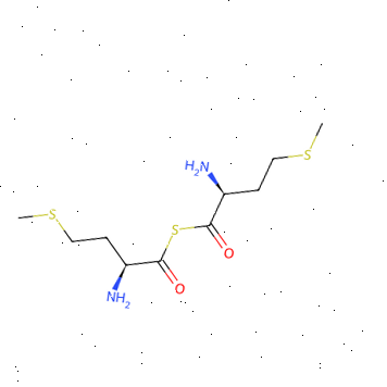 CSCC[C@H](N)C(=O)SC(=O)[C@@H](N)CCSC